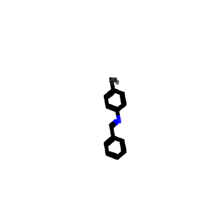 O=[N+]([O-])c1ccc(/N=C/c2ccccc2)cc1